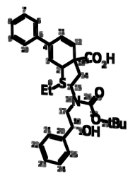 CCSC1C=C(c2ccccc2)C=CC1(CCN(C[C@H](O)c1ccccc1)C(=O)OC(C)(C)C)C(=O)O